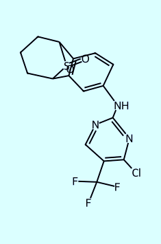 O=S1(=O)C2CCCC1c1cc(Nc3ncc(C(F)(F)F)c(Cl)n3)ccc12